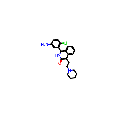 Nc1ccc(Cl)c(C2NC(=O)C(CCN3CCCCC3)c3ccccc32)c1